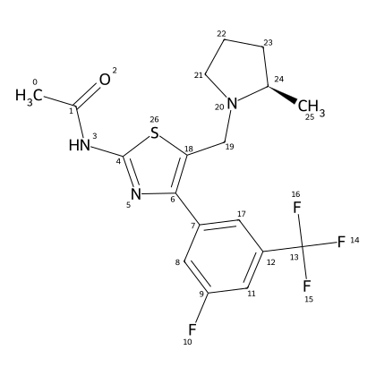 CC(=O)Nc1nc(-c2cc(F)cc(C(F)(F)F)c2)c(CN2CCC[C@H]2C)s1